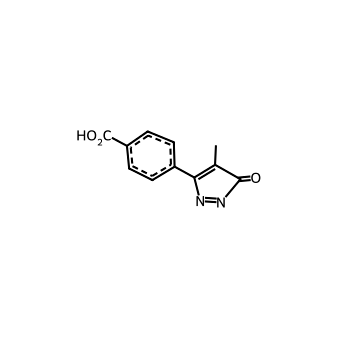 CC1=C(c2ccc(C(=O)O)cc2)N=NC1=O